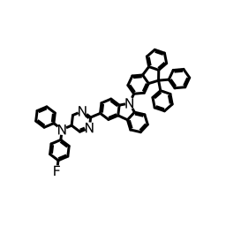 Fc1ccc(N(c2ccccc2)C2C=NC(c3ccc4c(c3)c3ccccc3n4-c3ccc4c(c3)C(c3ccccc3)(c3ccccc3)c3ccccc3-4)=NC2)cc1